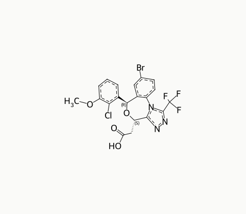 COc1cccc([C@@H]2O[C@@H](CC(=O)O)c3nnc(C(F)(F)F)n3-c3ccc(Br)cc32)c1Cl